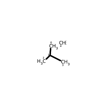 CC(C)C.[CH]